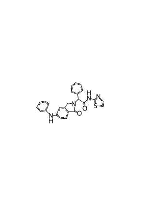 O=C(Nc1nccs1)C(c1ccccc1)N1Cc2cc(Nc3ccccc3)ccc2C1=O